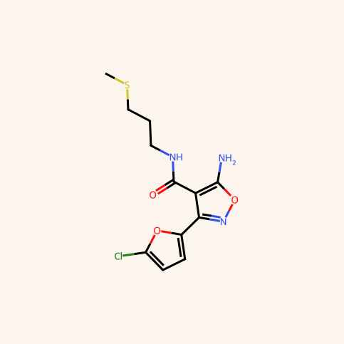 CSCCCNC(=O)c1c(-c2ccc(Cl)o2)noc1N